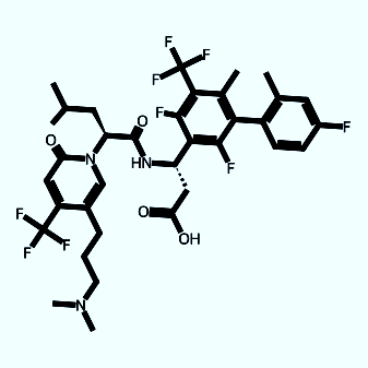 Cc1cc(F)ccc1-c1c(C)c(C(F)(F)F)c(F)c([C@H](CC(=O)O)NC(=O)[C@H](CC(C)C)n2cc(CCCN(C)C)c(C(F)(F)F)cc2=O)c1F